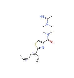 C=C/C(=C\C=C/C)c1nc(C(=O)N2CCN(C(C)=N)CC2)cs1